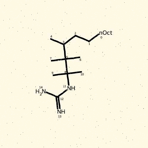 CCCCCCCCCCC(C)C(C)(C)C(C)(C)NC(=N)N